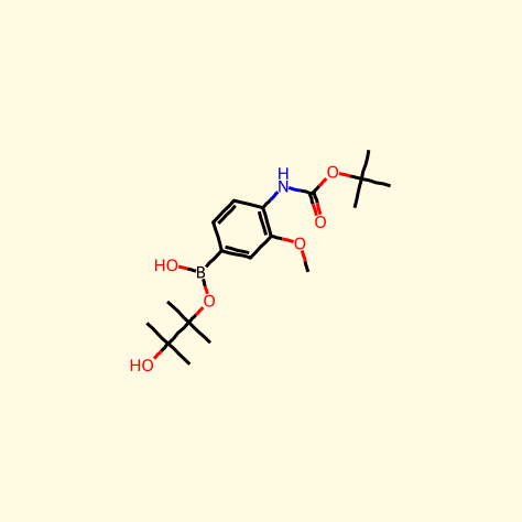 COc1cc(B(O)OC(C)(C)C(C)(C)O)ccc1NC(=O)OC(C)(C)C